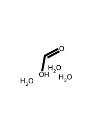 O.O.O.O=CO